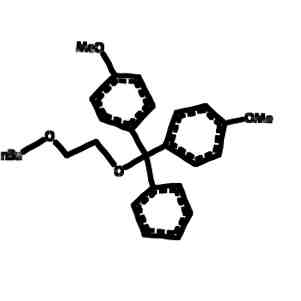 CCCCOCCOC(c1ccccc1)(c1ccc(OC)cc1)c1ccc(OC)cc1